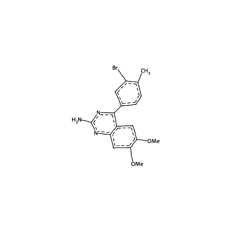 COc1cc2nc(N)nc(-c3ccc(C)c(Br)c3)c2cc1OC